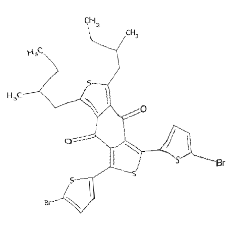 CCC(C)Cc1sc(CC(C)CC)c2c1C(=O)c1c(-c3ccc(Br)s3)sc(-c3ccc(Br)s3)c1C2=O